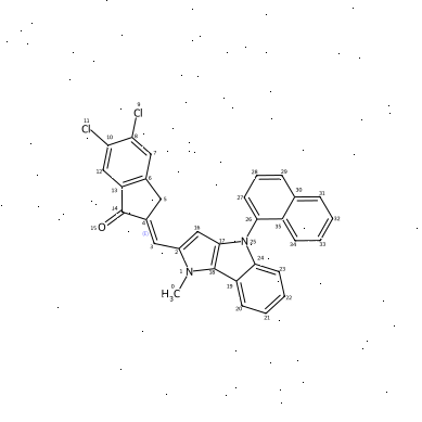 Cn1c(/C=C2\Cc3cc(Cl)c(Cl)cc3C2=O)cc2c1c1ccccc1n2-c1cccc2ccccc12